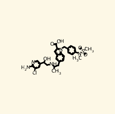 CC(Cc1ccc2c(c1)cc(C(=O)O)n2Cc1ccc(N(C)S(C)(=O)=O)cc1)NCC(O)c1cnc(N)c(Cl)c1